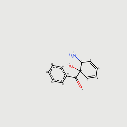 NC1C=CC=CC1(O)C(=O)c1ccccc1